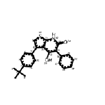 CC(C)(C)c1ccc(-c2csc3[nH]c(=O)c(-c4ccccc4)c(O)c23)cc1